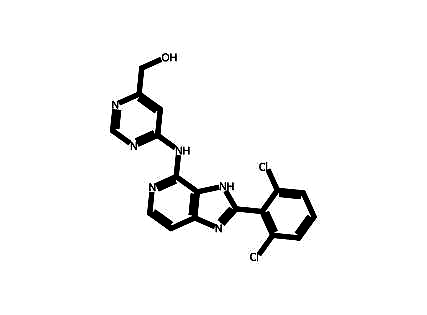 OCc1cc(Nc2nccc3nc(-c4c(Cl)cccc4Cl)[nH]c23)ncn1